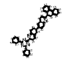 c1ccc(-c2nc(-c3ccccc3)nc(-c3ccc4cc(-c5ccc6nc(-c7cc8ccccc8c8ccccc78)ccc6c5)ccc4n3)n2)cc1